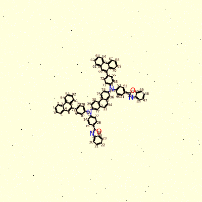 c1ccc2c(c1)cc(-c1ccc(N(c3ccc(-c4nc5ccccc5o4)cc3)c3ccc4c(ccc5cc(N(c6ccc(-c7nc8ccccc8o7)cc6)c6ccc(-c7cc8ccccc8c8ccccc78)cc6)ccc54)c3)cc1)c1ccccc12